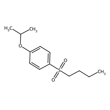 CCCCS(=O)(=O)c1ccc(OC(C)C)cc1